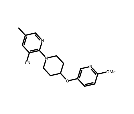 COc1ccc(OC2CCN(c3ncc(C)cc3C#N)CC2)cn1